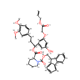 C=CCOC(=O)COc1cc(O)cc(C(CCc2ccc(OC)c(OC)c2)OC(=O)[C@@H]2CCCCN2C(=O)OCC2c3ccccc3-c3ccccc32)c1